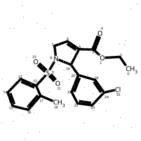 CCOC(=O)C1=CCN(S(=O)(=O)c2ccccc2C)C1c1cccc(Cl)c1